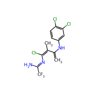 C=C(Nc1ccc(Cl)c(Cl)c1)/C(C)=C(Cl)\N=C(/N)C(F)(F)F